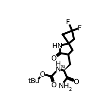 CC(C)(C)OC(=O)N[C@@H](CC1CC2(CC(F)(F)C2)NC1=O)C(N)=O